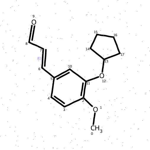 COc1ccc(/C=C/C=O)cc1OC1CCCC1